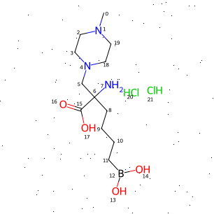 CN1CCN(CC(N)(CCCCB(O)O)C(=O)O)CC1.Cl.Cl